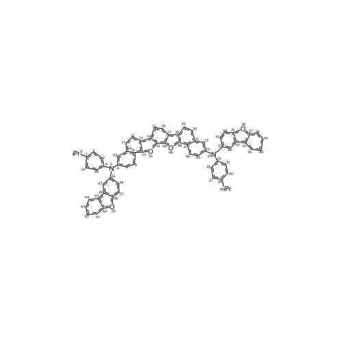 CC(C)c1ccc(N(c2ccc3c(ccc4c5ccc6c7ccc8cc(N(c9ccc(C(C)C)cc9)c9ccc%10oc%11ccccc%11c%10c9)ccc8c7oc6c5oc34)c2)c2ccc3oc4ccccc4c3c2)cc1